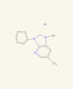 CC(C)N1CN(c2ccccc2)c2ncc(C(F)(F)F)cc21.I